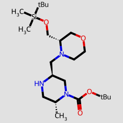 C[C@@H]1CN[C@@H](CN2CCOC[C@H]2CO[Si](C)(C)C(C)(C)C)CN1C(=O)OC(C)(C)C